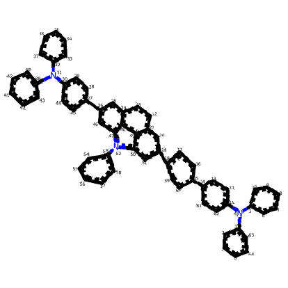 c1ccc(N(c2ccccc2)c2ccc(-c3ccc(-c4cc5ccc6cc(-c7ccc(N(c8ccccc8)c8ccccc8)cc7)cc7c6c5c(c4)n7-c4ccccc4)cc3)cc2)cc1